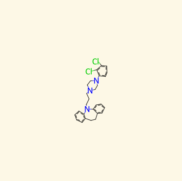 Clc1cccc(N2CCN(CCCN3c4ccccc4CCc4ccccc43)CC2)c1Cl